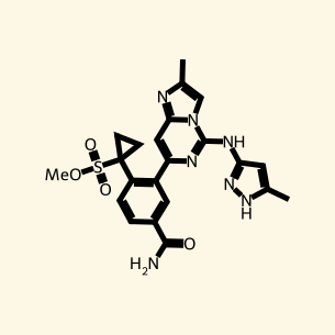 COS(=O)(=O)C1(c2ccc(C(N)=O)cc2-c2cc3nc(C)cn3c(Nc3cc(C)[nH]n3)n2)CC1